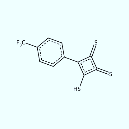 FC(F)(F)c1ccc(-c2c(S)c(=S)c2=S)cc1